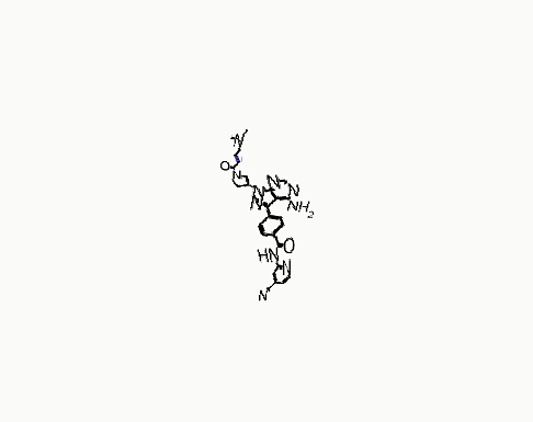 CN(C)C/C=C/C(=O)N1CCC(n2nc(-c3ccc(C(=O)Nc4cc(C#N)ccn4)cc3)c3c(N)ncnc32)C1